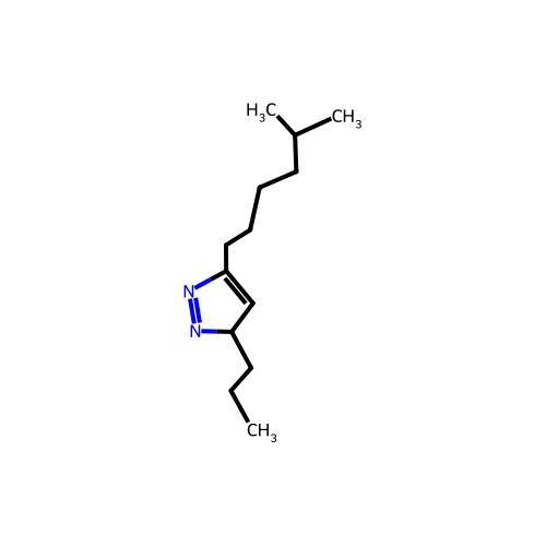 CCCC1C=C(CCCCC(C)C)N=N1